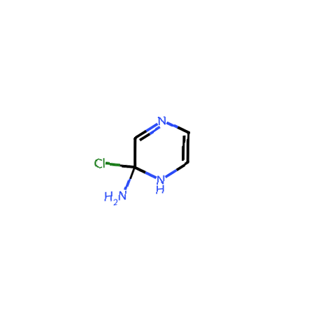 NC1(Cl)C=NC=CN1